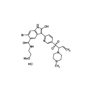 C=CC(N1CCN(C)CC1)S(=O)(=O)c1ccc(-c2c(O)[nH]c3cc(Br)c(C(=O)NCCOC)cc23)nc1.Cl